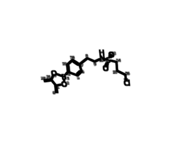 C=C1OB(c2ccc(CCNS(=O)(=O)CCCCl)cc2)OC1=C